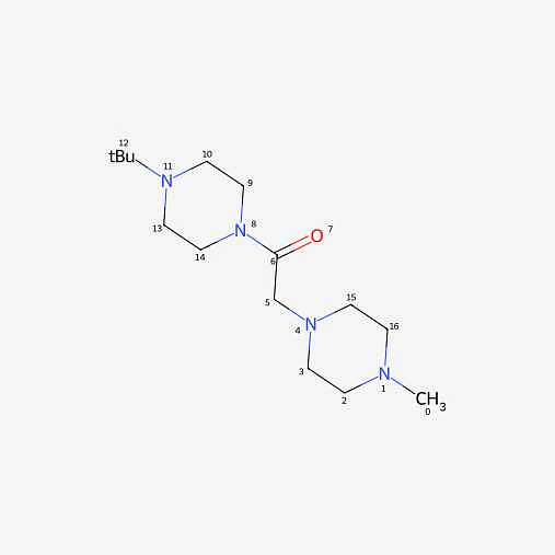 CN1CCN(CC(=O)N2CCN(C(C)(C)C)CC2)CC1